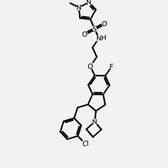 Cn1cc(S(=O)(=O)NCCOc2cc3c(cc2F)CC(N2CCC2)C3Cc2cccc(Cl)c2)cn1